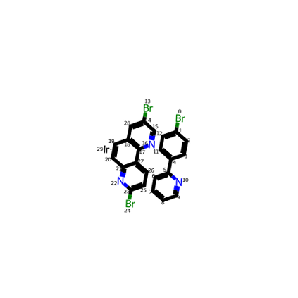 Brc1ccc(-c2ccccn2)cc1.Brc1cnc2c(ccc3nc(Br)ccc32)c1.[Ir]